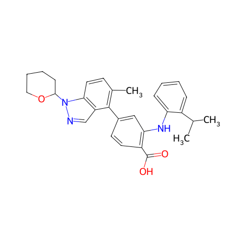 Cc1ccc2c(cnn2C2CCCCO2)c1-c1ccc(C(=O)O)c(Nc2ccccc2C(C)C)c1